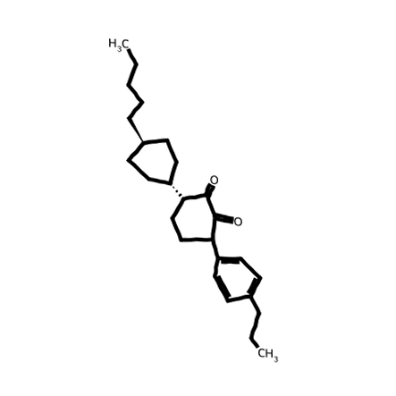 CCCCC[C@H]1CC[C@H](C2CCC(c3ccc(CCC)cc3)C(=O)C2=O)CC1